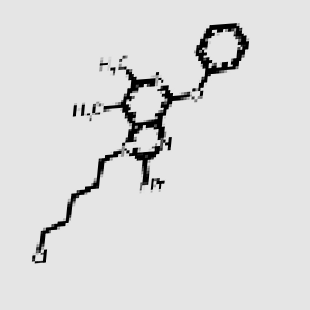 CCCc1nc2c(Oc3ccccc3)nc(C)c(C)c2n1CCCCCCl